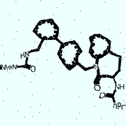 CCCC(=O)N[C@@H]1CCc2ccccc2N(Cc2ccc(-c3ccccc3CNC(=O)NC)cc2)C1=O